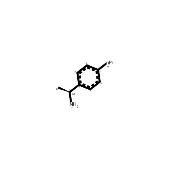 CCCc1ccc([C@H](C)N)cc1